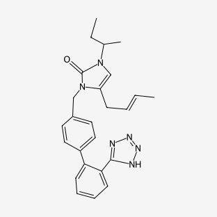 C/C=C/Cc1cn(C(C)CC)c(=O)n1Cc1ccc(-c2ccccc2-c2nnn[nH]2)cc1